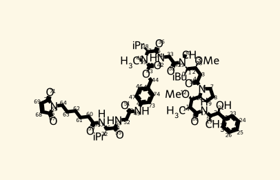 CC[C@H](C)[C@@H]([C@@H](CC(=O)N1CCC[C@H]1[C@H](OC)[C@@H](C)C(=O)N[C@H](C)[C@@H](O)c1ccccc1)OC)N(C)C(=O)CNC(=O)[C@H](C(C)C)N(C)C(=O)OCc1ccc(NC(=O)CNC(=O)[C@@H](NC(=O)CCCCCN2C(=O)C=CC2=O)C(C)C)cc1